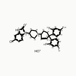 Cl.O=c1[nH]c2cc(Cl)ccc2n1C1CCN(C2C=CC(c3ccc(F)cc3F)(c3ccc(F)cc3F)CC2)CC1